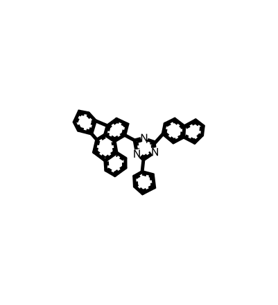 c1ccc(-c2nc(-c3ccc4ccccc4c3)nc(-c3ccc4c5c(cc6ccccc6c35)-c3ccccc3-4)n2)cc1